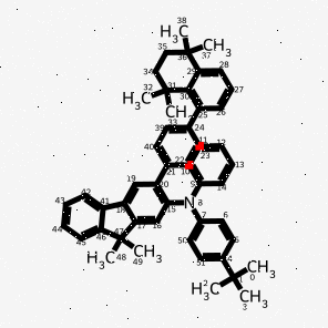 CC(C)(C)c1ccc(N(c2ccccc2)c2cc3c(cc2-c2ccc(-c4cccc5c4C(C)(C)CCC5(C)C)cc2)-c2ccccc2C3(C)C)cc1